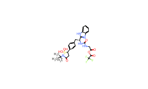 CC(C)(C)N1C(=O)CC(c2ccc(C[C@H](NC(=O)NCC(=O)OC(=O)C(F)(F)F)c3nc4ccccc4[nH]3)cc2)S1(O)O